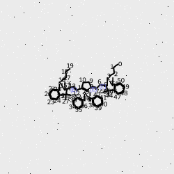 CCCCN1/C(=C/C=C2\CCC(/C=C/C3=[N+](CCCC)c4ccccc4C3(C)C)=C2N(c2ccccc2)c2ccccc2)C(C)(C)c2ccccc21